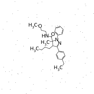 CCCCC1C(c2ccc(CC)cc2)=NN(c2ccccc2)C1(C)C(=O)NCCOC